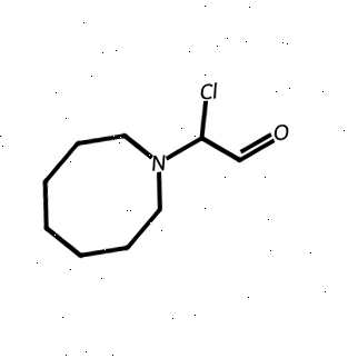 O=CC(Cl)N1CCCCCCC1